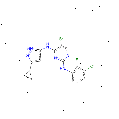 Fc1c(Cl)cccc1Nc1ncc(Br)c(Nc2cc(C3CC3)n[nH]2)n1